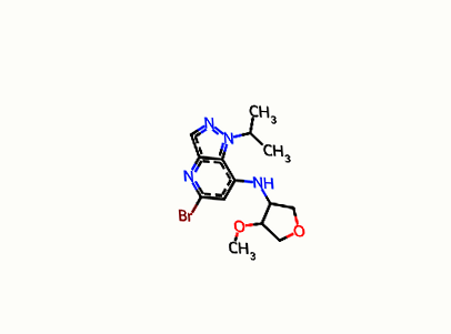 COC1COCC1Nc1cc(Br)nc2cnn(C(C)C)c12